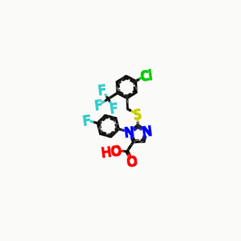 O=C(O)c1cnc(SCc2cc(Cl)ccc2C(F)(F)F)n1-c1ccc(F)cc1